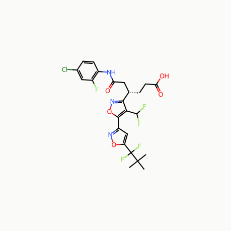 CC(C)(C)C(F)(F)c1cc(-c2onc([C@@H](CCC(=O)O)CC(=O)Nc3ccc(Cl)cc3F)c2C(F)F)no1